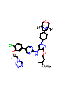 COC(C)CCOc1nn(C2CCC(N3[C@@H]4CC[C@H]3COC4)CC2)cc1Nc1ncc(-c2ccc(Cl)c(O[C@@H](C)Cn3cnnn3)c2)cn1